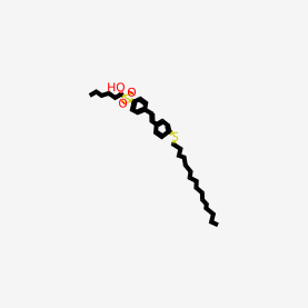 CCCCCCCCCCCCCCCCSc1ccc(C=Cc2ccc(S(=O)(=O)C(O)CCCCC)cc2)cc1